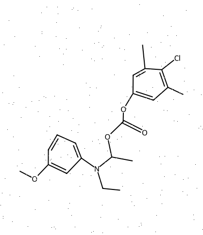 CCN(c1cccc(OC)c1)C(C)OC(=O)Oc1cc(C)c(Cl)c(C)c1